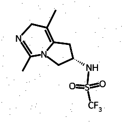 CC1=NCC(C)=C2C[C@H](NS(=O)(=O)C(F)(F)F)CN12